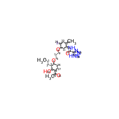 CCCc1c(OCCCOc2cc(NC(=O)c3nnn[nH]3)c(C)cc2I)ccc(C(C)=O)c1O